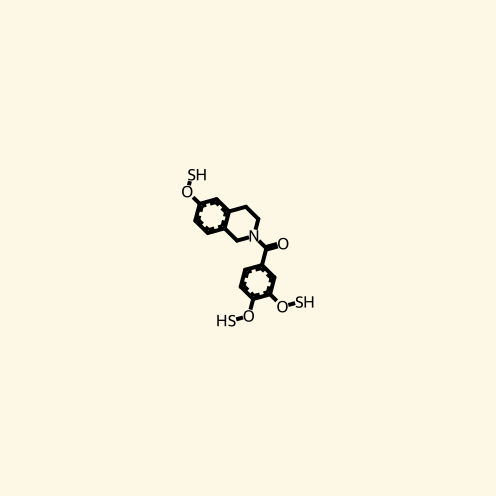 O=C(c1ccc(OS)c(OS)c1)N1CCc2cc(OS)ccc2C1